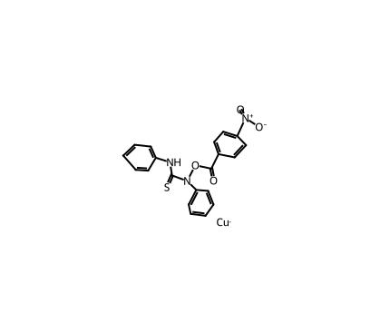 O=C(ON(C(=S)Nc1ccccc1)c1ccccc1)c1ccc([N+](=O)[O-])cc1.[Cu]